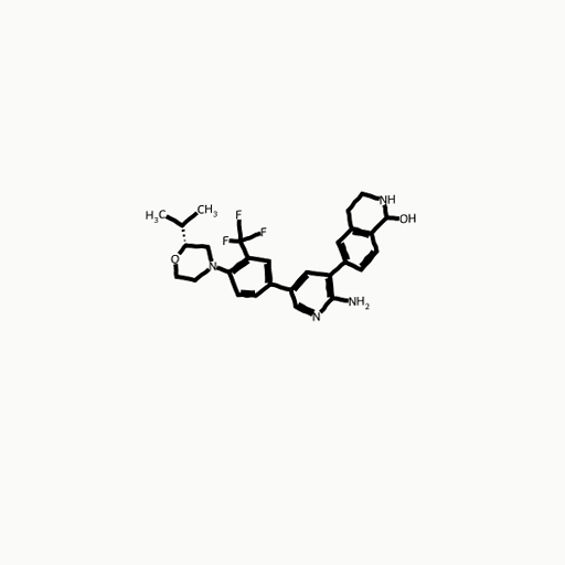 CC(C)[C@@H]1CN(c2ccc(-c3cnc(N)c(-c4ccc5c(c4)CCNC5O)c3)cc2C(F)(F)F)CCO1